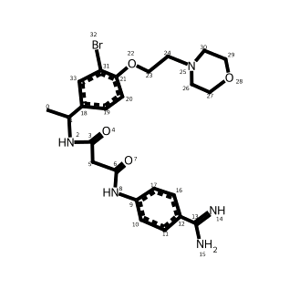 CC(NC(=O)CC(=O)Nc1ccc(C(=N)N)cc1)c1ccc(OCCN2CCOCC2)c(Br)c1